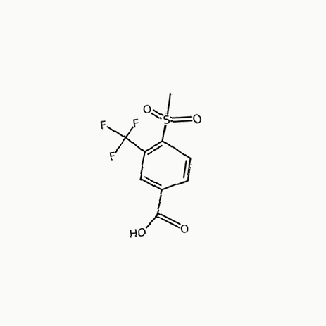 CS(=O)(=O)c1ccc(C(=O)O)cc1C(F)(F)F